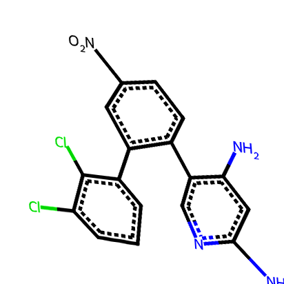 Nc1cc(N)c(-c2ccc([N+](=O)[O-])cc2-c2cccc(Cl)c2Cl)cn1